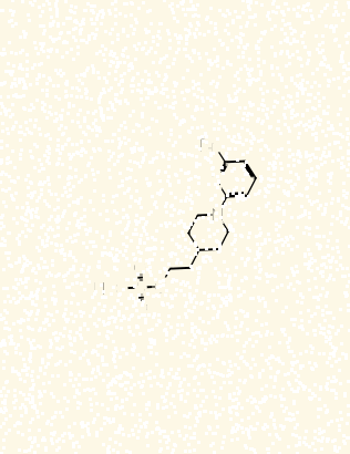 CS(=O)(=O)OCCC1CCN(c2cccc(Br)n2)CC1